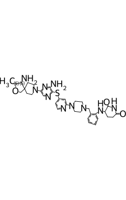 C[C@@H]1OCC2(CCN(c3cnc(Sc4ccnc(N5CCN(Cc6ccccc6NC6CCC(=O)NC6=O)CC5)c4)c(N)n3)CC2)[C@@H]1N